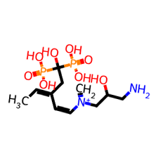 C=[N+](/C=C\C(=C/C)CC(O)(P(=O)(O)O)P(=O)(O)O)CC(O)CN